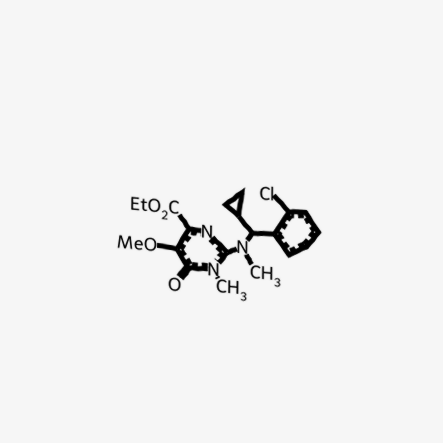 CCOC(=O)c1nc(N(C)C(c2ccccc2Cl)C2CC2)n(C)c(=O)c1OC